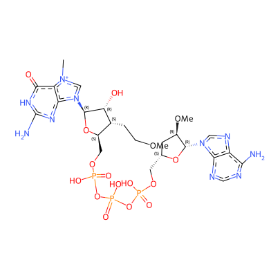 COCC[C@H]1[C@@H](O)[C@H](n2c[n+](C)c3c(=O)[nH]c(N)nc32)O[C@@H]1COP(=O)(O)OP(=O)(O)OP(=O)(O)OC[C@@H]1C[C@@H](OC)[C@H](n2cnc3c(N)ncnc32)O1